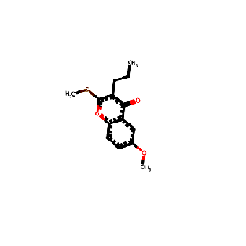 CCCc1c(SC)oc2ccc(OC)cc2c1=O